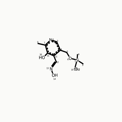 Cc1ncc(CO[Si](C)(C)C(C)(C)C)c(/C=N/O)c1O